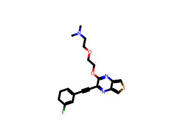 CN(C)CCOCCOc1nc2cscc2nc1C#CC1=CCCC(F)=C1